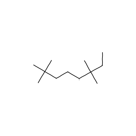 CCC(C)(C)[CH]CCC(C)(C)C